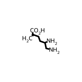 C=C(CCC(N)CN)C(=O)O